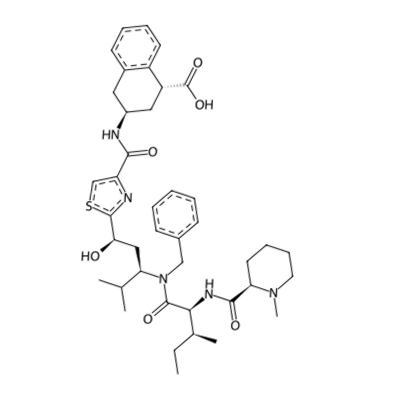 CC[C@H](C)[C@H](NC(=O)[C@H]1CCCCN1C)C(=O)N(Cc1ccccc1)[C@H](C[C@@H](O)c1nc(C(=O)N[C@H]2Cc3ccccc3[C@H](C(=O)O)C2)cs1)C(C)C